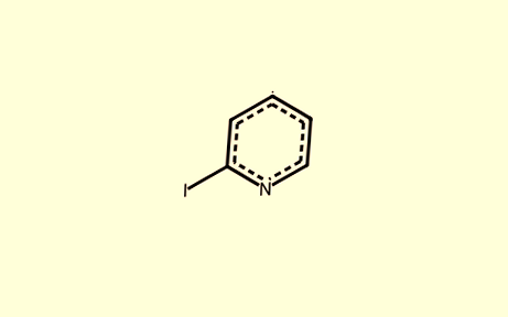 Ic1c[c]ccn1